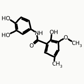 COc1cc(C)cc(C(=O)Nc2ccc(O)c(O)c2)c1O